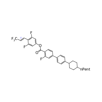 CCCCCC1CCC(c2ccc(-c3ccc(C(=O)Oc4cc(F)c(/C=C/C(F)(F)F)c(F)c4)c(F)c3)cc2)CC1